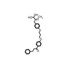 CO[C@@H](Cc1ccc(OCCCOc2ccc(C(=O)CCc3ccccc3)cc2)cc1)C(O)O